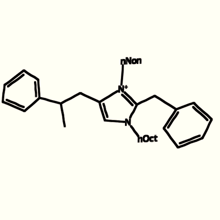 CCCCCCCCC[n+]1c(CC(C)c2ccccc2)cn(CCCCCCCC)c1Cc1ccccc1